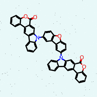 O=c1oc2ccccc2c2cc3c4ccccc4n(-c4ccc5oc6ccc(-n7c8ccccc8c8cc9c(cc87)c(=O)oc7ccccc79)cc6c5c4)c3cc12